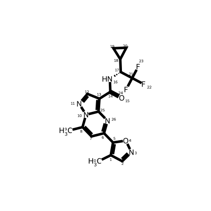 Cc1cnoc1-c1cc(C)n2ncc(C(=O)N[C@H](C3CC3)C(F)(F)F)c2n1